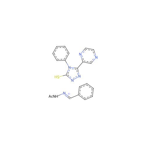 CC(=O)N/N=C/c1ccccc1.Sc1nnc(-c2cnccn2)n1-c1ccccc1